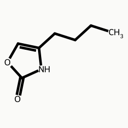 CCCCc1coc(=O)[nH]1